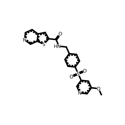 COc1cncc(S(=O)(=O)c2ccc(CNC(=O)c3cc4ccncc4s3)cc2)c1